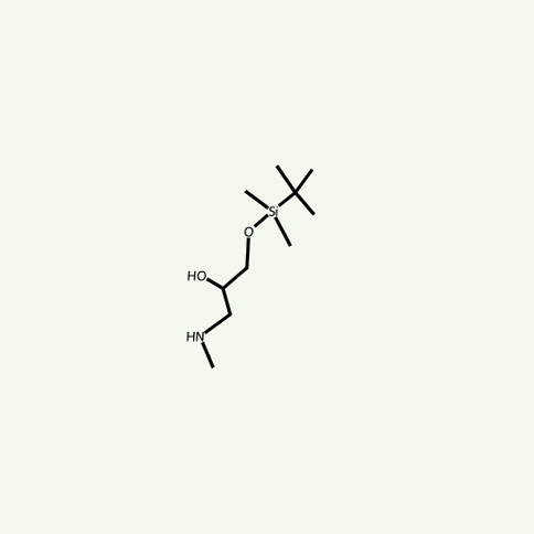 CNCC(O)CO[Si](C)(C)C(C)(C)C